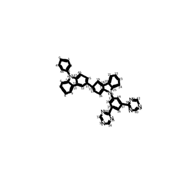 c1ccc(-n2c3ccccc3c3cc(-c4ccc5c(c4)c4ccccc4n5-c4cc(-c5ncncn5)cc(-c5ncncn5)c4)ccc32)cc1